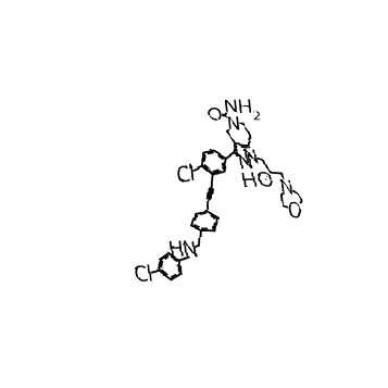 NC(=O)N1CCc2c(c(-c3ccc(Cl)c(C#Cc4ccc(CNCc5ccc(Cl)cc5)cc4)c3)nn2C[C@@H](O)CN2CCOCC2)C1